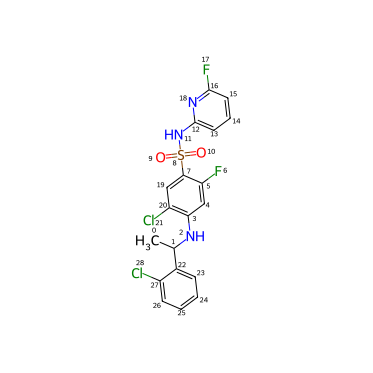 CC(Nc1cc(F)c(S(=O)(=O)Nc2cccc(F)n2)cc1Cl)c1ccccc1Cl